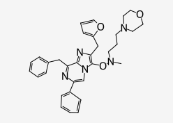 CN(CCCN1CCOCC1)Oc1c(Cc2ccco2)nc2c(Cc3ccccc3)nc(-c3ccccc3)cn12